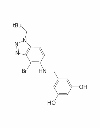 CC(C)(C)Cn1nnc2c(Br)c(NCc3cc(O)cc(O)c3)ccc21